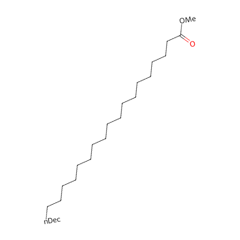 CCCCCCCCCCCCCCCCCCCCCCCCCCCC(=O)OC